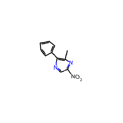 Cc1nc([N+](=O)[O-])cnc1-c1ccccc1